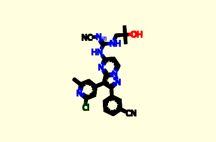 Cc1cc(-c2c(-c3cccc(C#N)c3)nn3ccc(N/C(=N\C#N)NCC(C)(C)O)nc23)cc(Cl)n1